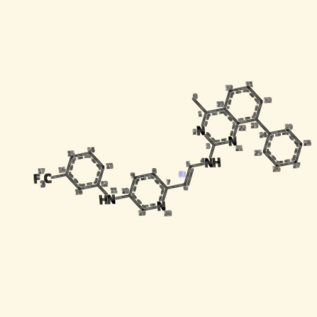 Cc1nc(N/C=C/c2ccc(Nc3cccc(C(F)(F)F)c3)cn2)nc2c(-c3ccccc3)cccc12